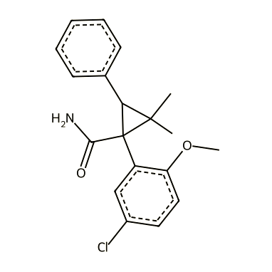 COc1ccc(Cl)cc1C1(C(N)=O)C(c2ccccc2)C1(C)C